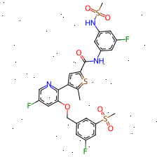 Cc1sc(C(=O)Nc2cc(F)cc(NS(C)(=O)=O)c2)cc1-c1ncc(F)cc1OCc1cc(F)cc(S(C)(=O)=O)c1